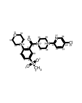 CS(=O)(=O)c1ccc(N2CCOCC2)c(C(=O)N2CCN(c3ccc(Cl)cn3)CC2)c1